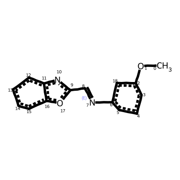 COc1cccc(/N=C/c2nc3ccccc3o2)c1